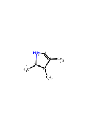 CC1=CNC(C)C1C